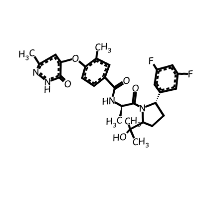 Cc1cc(Oc2ccc(C(=O)N[C@H](C)C(=O)N3C(C(C)(C)O)CC[C@H]3c3cc(F)cc(F)c3)cc2C)c(=O)[nH]n1